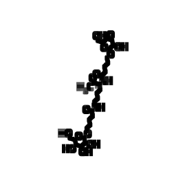 CC(=O)[C@H](CCCCNC(=O)CCCCOC1OC(CO)C(O)C(O)C1O)NC(=O)CCCCOC1OC(CO)C2OC2C1O